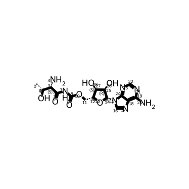 C[C@@H](O)[C@H](N)C(=O)NC(=O)OC[C@H]1O[C@@H](n2cnc3c(N)ncnc32)[C@H](O)[C@@H]1O